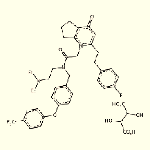 CCN(CC)CCN(Cc1ccc(Oc2ccc(C(F)(F)F)cc2)cc1)C(=O)Cn1c(SCc2ccc(F)cc2)nc(=O)c2c1CCC2.O=C(O)C(O)C(O)C(=O)O